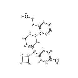 OCCc1ccccc1C1CCCN(C(c2ccc(Cl)cc2)C2CCC2)C1